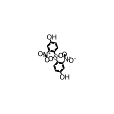 O=[N+]([O-])c1cc(O)ccc1S(=O)(=O)c1ccc(O)cc1[N+](=O)[O-]